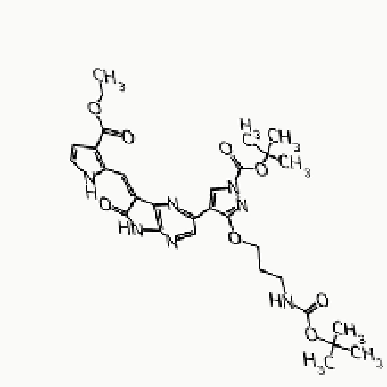 CCOC(=O)c1cc[nH]c1/C=C1\C(=O)Nc2ncc(-c3cn(C(=O)OC(C)(C)C)nc3OCCCNC(=O)OC(C)(C)C)nc21